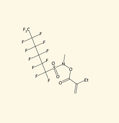 C=C(CC)C(=O)ON(C)S(=O)(=O)C(F)(F)C(F)(F)C(F)(F)C(F)(F)C(F)(F)C(F)(F)F